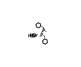 Br.Br.CP(Cc1ccccc1)CP(C)Cc1ccccc1